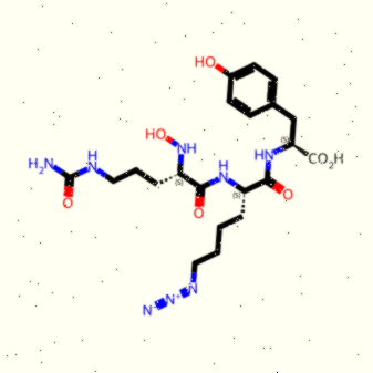 [N-]=[N+]=NCCCC[C@H](NC(=O)[C@H](CCCNC(N)=O)NO)C(=O)N[C@@H](Cc1ccc(O)cc1)C(=O)O